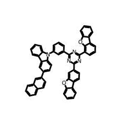 c1cc(-c2nc(-c3ccc4c(c3)oc3ccccc34)nc(-c3cccc4c3oc3ccccc34)n2)cc(-n2c3ccccc3c3cc(-c4ccc5ccccc5c4)ccc32)c1